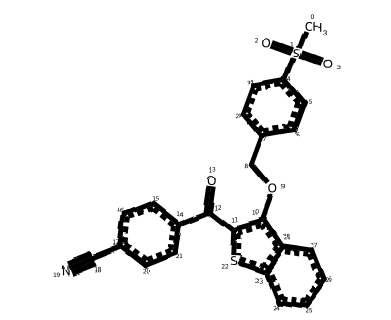 CS(=O)(=O)c1ccc(COc2c(C(=O)c3ccc(C#N)cc3)sc3ccccc23)cc1